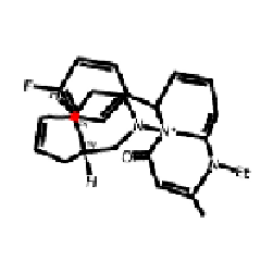 CCN1C(C)=CC(=O)[N+]2(N3CC[C@H]4C=CC[C@H]4C3)C1=CC=CC2c1ccc(F)cc1